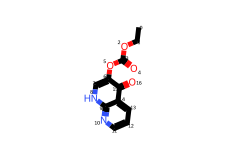 CCOC(=O)Oc1c[nH]c2ncccc2c1=O